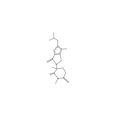 Cc1c(CC(C)C)sc2c1CN(C1(C)CCC(=O)N(C)C1=O)C2=O